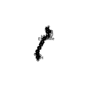 CCc1cc(Nc2ncc(Br)c(Nc3ccc4nc(C)c(F)cc4c3P(C)(C)=O)n2)c(OC)cc1N1CCC2(CC1)CCN(C1CCN(c3ccc4c(c3)CN(C3CCC(=O)NC3=O)C4=O)CC1)CC2